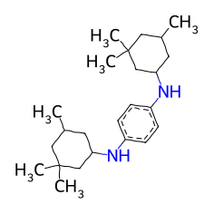 CC1CC(Nc2ccc(NC3CC(C)CC(C)(C)C3)cc2)CC(C)(C)C1